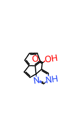 O=C(O)C1=CNC=NC12C=Cc1ccccc12